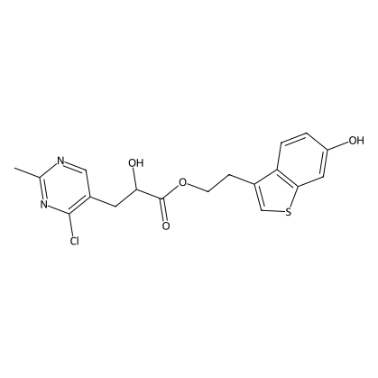 Cc1ncc(CC(O)C(=O)OCCc2csc3cc(O)ccc23)c(Cl)n1